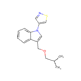 CC(C)COCc1cn(-c2cnsc2)c2ccccc12